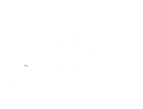 OC[C@H]1O[C@@H](n2cnc3c(NCc4c(F)ccc(Cl)c4F)ncnc32)[C@@H](O)[C@@H]1O